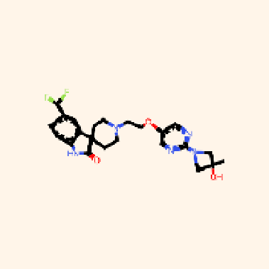 CC1(O)CN(c2ncc(OCCN3CCC4(CC3)C(=O)Nc3ccc(C(F)F)cc34)cn2)C1